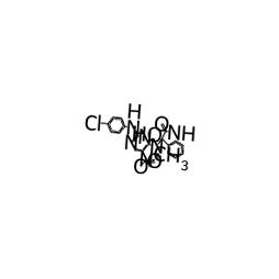 CN(c1nc(Nc2ccc(Cl)cc2)ncc1[N+](=O)[O-])C1(O)C(=O)Nc2ccccc21